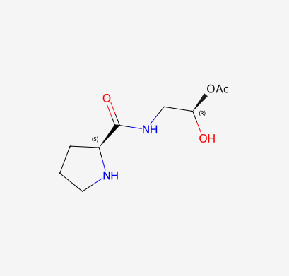 CC(=O)O[C@@H](O)CNC(=O)[C@@H]1CCCN1